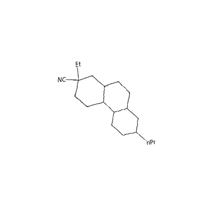 CCCC1CCC2C(CCC3CC(C#N)(CC)CCC32)C1